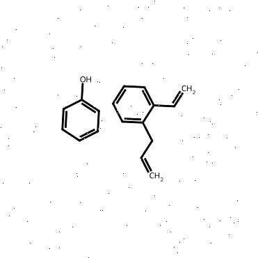 C=CCc1ccccc1C=C.Oc1ccccc1